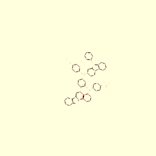 C[Si](C)(C)c1ccc(N(c2ccccc2)c2cc(N(c3ccc([Si](C)(C)P)cc3)c3ccc4c5ccccc5n(-c5ccccc5)c4c3)ccc2-c2ccc3oc4ccccc4c3c2)cc1